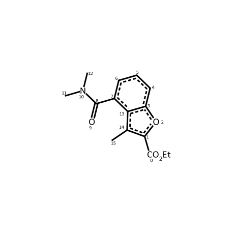 CCOC(=O)c1oc2cccc(C(=O)N(C)C)c2c1C